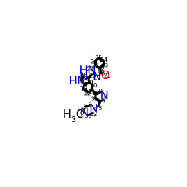 CN1CCN(Cc2cncc(-c3ccc4[nH]nc(-c5nc(=O)c6ccccc6[nH]5)c4c3)c2)CC1